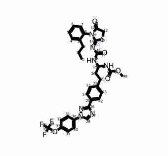 CCCc1ccccc1N1C(=O)CS/C1=N\C(=O)NC(CCc1ccc(-c2ncn(-c3ccc(OC(F)(F)F)cc3)n2)cc1)NC(=O)OC